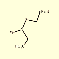 CCCCCCSN(CC)CC(=O)O